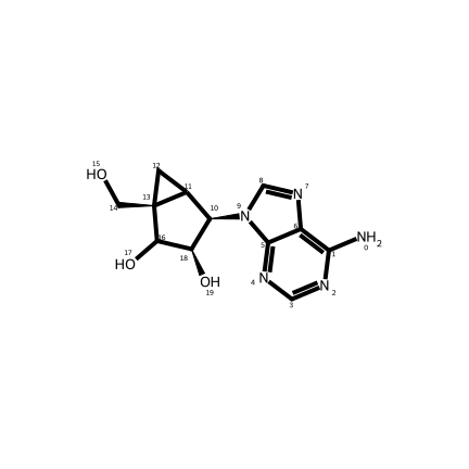 Nc1ncnc2c1ncn2[C@@H]1C2C[C@@]2(CO)C(O)[C@@H]1O